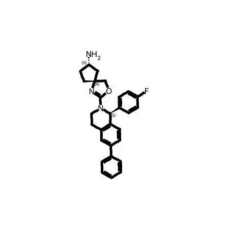 N[C@H]1CC[C@]2(COC(N3CCc4cc(-c5ccccc5)ccc4[C@@H]3c3ccc(F)cc3)=N2)C1